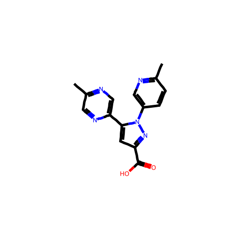 Cc1ccc(-n2nc(C(=O)O)cc2-c2cnc(C)cn2)cn1